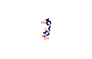 CC1C(=O)N(CCCN2CCC3(CC3)C(O)C2)CCN1C(=O)O